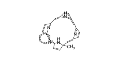 CC12C=CC([n+]3ccccc3)(C=C3C=CC(=N3)C=c3ccc([nH]3)=CC3=NC(=C1)C=C3)N2